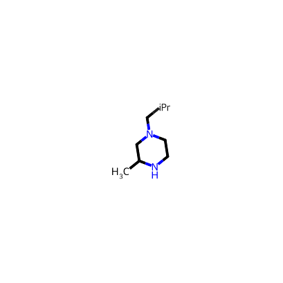 CC(C)CN1CCNC(C)C1